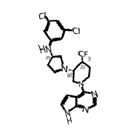 FC(F)(F)[C@H]1CCN(c2ncnc3[nH]ccc23)C[C@@H]1N1CC[C@@H](Nc2cc(Cl)cc(Cl)c2)C1